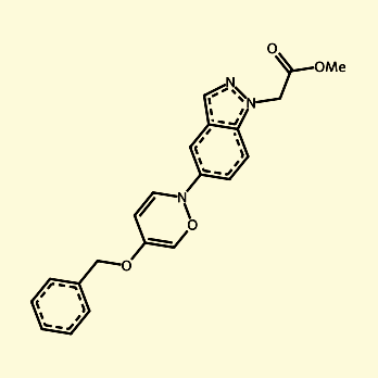 COC(=O)Cn1ncc2cc(N3C=CC(OCc4ccccc4)=CO3)ccc21